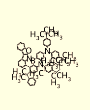 Cc1cc2c(cc1N1c3cc(N(c4ccc(C(C)(C)C)cc4)c4ccc(C(C)(C)C)cc4)ccc3B3c4c1cc1c(c4-c4cccc5c6c7ccccc7oc6n3c45)C(C)(C)c3ccccc3-1)C(C)(C)CCC2(C)C